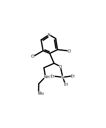 CC[Si](CC)(CC)OC(CNCC(C)(C)C)c1c(Cl)cncc1Cl